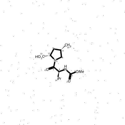 COC(=O)N[C@H](C(=O)N1C[C@@H](C)C[C@H]1C(=O)O)C(C)C